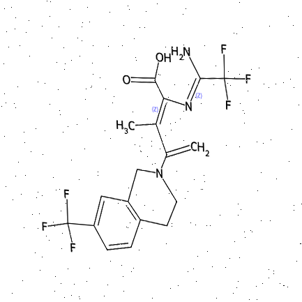 C=C(/C(C)=C(\N=C(/N)C(F)(F)F)C(=O)O)N1CCc2ccc(C(F)(F)F)cc2C1